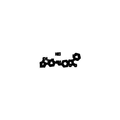 Cl.Cn1cncc1-c1ccc(NCC2CCC3(CC2)CN(c2ccccn2)C(=O)O3)nc1